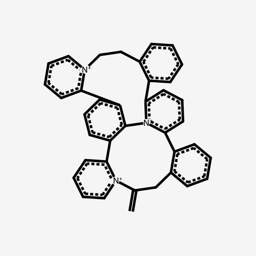 C=C1Cc2ccccc2-c2cccc3[n+]2-c2c(cccc2-c2cccc[n+]21)-c1cccc[n+]1CCc1ccccc1-3